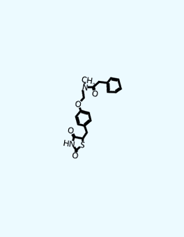 CN(CCOc1ccc(CC2SC(=O)NC2=O)cc1)C(=O)Cc1ccccc1